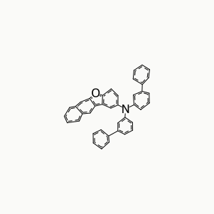 c1ccc(-c2cccc(N(c3cccc(-c4ccccc4)c3)c3ccc4oc5cc6ccccc6cc5c4c3)c2)cc1